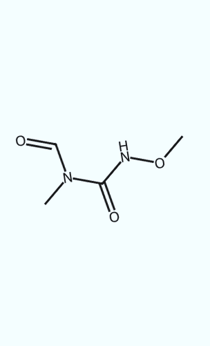 CONC(=O)N(C)C=O